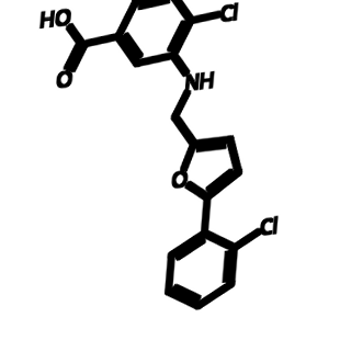 O=C(O)c1ccc(Cl)c(NCc2ccc(-c3ccccc3Cl)o2)c1